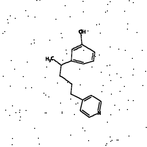 CC(CCCc1ccncc1)c1cccc(O)c1